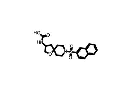 O=C(O)NC1COC2(CCN(S(=O)(=O)c3ccc4ccccc4c3)CC2)C1